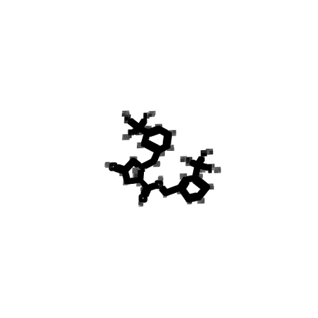 O=C1C[C@H](C(=O)OCc2cccc(C(F)(F)F)c2)N(Cc2cccc(C(F)(F)F)c2)C1